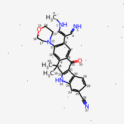 CN/C=C(\C=N)c1cc2c(cc1N1CCOCC1)C(C)(C)c1[nH]c3cc(C#N)ccc3c1C2=O